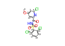 COc1cc(Cl)nc(C(=O)NS(=O)(=O)c2c(Cl)cccc2Cl)c1